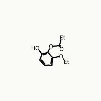 CCOc1cccc(O)c1OC(=O)CC